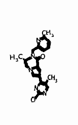 Cc1cccc(CN2C(=O)c3cc(-c4nc(Cl)ncc4C)cn3C[C@H]2C)n1